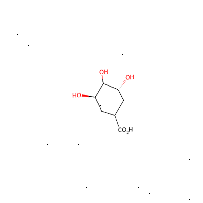 O=C(O)C1C[C@@H](O)C(O)[C@H](O)C1